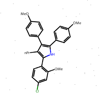 CCCc1c(-c2ccc(Cl)cc2OC)[nH]c(-c2ccc(OC)cc2)c1-c1ccc(OC)cc1